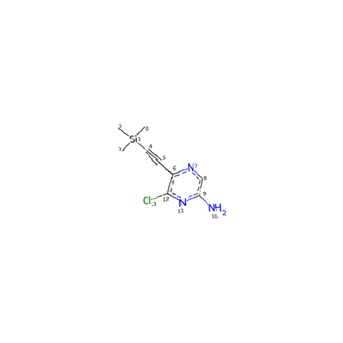 C[Si](C)(C)C#Cc1ncc(N)nc1Cl